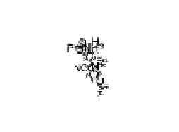 Cc1cc(-c2c(C#N)c3ccc(OCC(F)F)cc3n2C2CCC2)ccc1NC(=O)OC(C)C